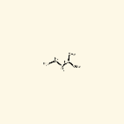 CO[SiH](OC)[SiH2][SiH2][SiH3]